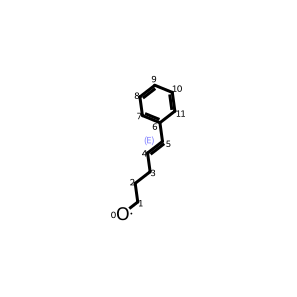 [O]CCC/C=C/c1ccccc1